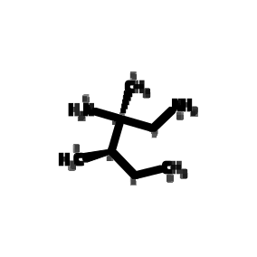 CC[C@@H](C)[C@@](C)(N)CN